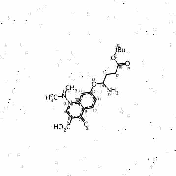 CN(C)n1cc(C(=O)O)c(=O)c2ccc(OC(N)CCC(=O)OC(C)(C)C)cc21